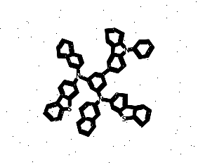 c1ccc(-n2c3ccccc3c3cc(-c4cc(N(c5ccc6ccccc6c5)c5ccc6c(c5)sc5ccccc56)cc(N(c5ccc6ccccc6c5)c5ccc6c(c5)sc5ccccc56)c4)ccc32)cc1